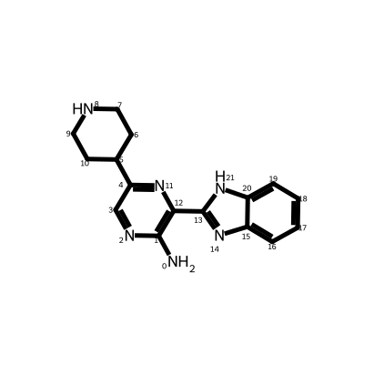 Nc1ncc(C2CCNCC2)nc1-c1nc2ccccc2[nH]1